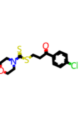 O=C(CCSC(=S)N1CCOCC1)c1ccc(Cl)cc1